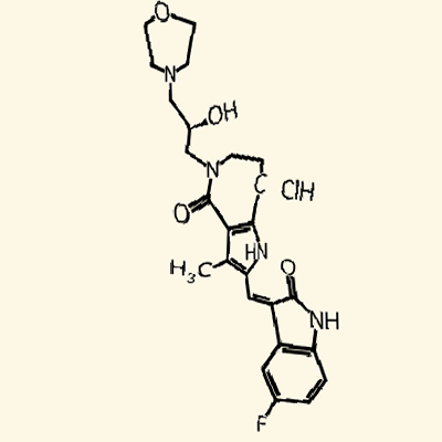 Cc1c(/C=C2\C(=O)Nc3ccc(F)cc32)[nH]c2c1C(=O)N(C[C@H](O)CN1CCOCC1)CCC2.Cl